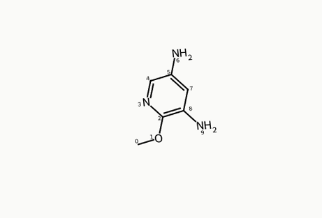 COc1ncc(N)cc1N